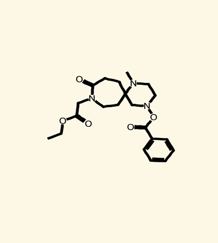 CCOC(=O)CN1CCC2(CCC1=O)CN(OC(=O)c1ccccc1)CCN2C